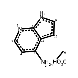 CC(=O)O.Nc1ccnc2[nH]ccc12